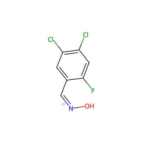 O/N=C\c1cc(Cl)c(Cl)cc1F